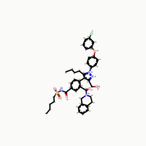 CCCCCS(=O)(=O)NC(=O)c1ccc(-c2c(CO)nn(-c3ccc(Oc4cccc(Cl)c4)cc3)c2CCCC)c(C(=O)N2CCc3ccccc3C2)c1